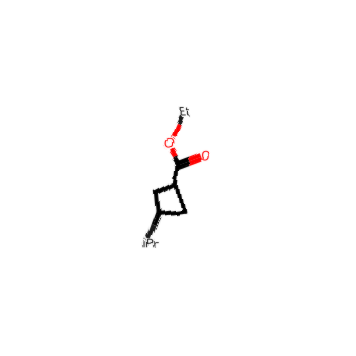 CCOC(=O)C1CC(C(C)C)C1